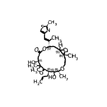 C=CC[C@H]1C(=O)C(C)(C)[C@@H](O)CC(=O)O[C@H](C(C)=Cc2csc(C)n2)C[C@@H]2O[C@]2(C)CCO[C@H](C)[C@H]1O